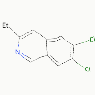 CCc1cc2cc(Cl)c(Cl)cc2cn1